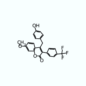 COc1ccc2c(Cc3ccc(O)cc3)c(-c3ccc(C(F)(F)F)cc3)c(=O)oc2c1